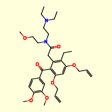 C=CCOc1cc(OCC=C)c(C(=O)c2ccc(OC)c(OC)c2)c(CC(=O)N(CCOC)CCN(CC)CC)c1CC